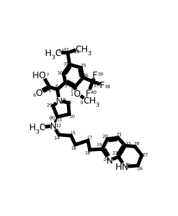 COc1c(C(C(=O)O)N2CC[C@@H](N(C)CCCCCc3ccc4c(n3)NCCC4)C2)cc(C(C)C)cc1C(F)(F)F